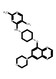 Cc1ncc(C)c(N[C@H]2CC[C@@H](Oc3cc(N4CCOCC4)cc4nccnc34)CC2)n1